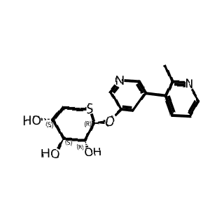 Cc1ncccc1-c1cncc(O[C@@H]2SC[C@@H](O)[C@H](O)[C@H]2O)c1